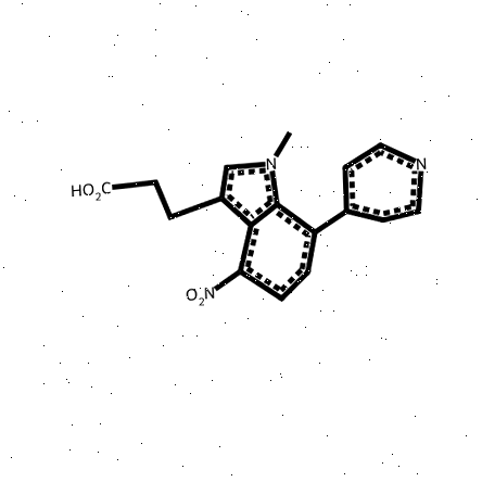 Cn1cc(CCC(=O)O)c2c([N+](=O)[O-])ccc(-c3ccncc3)c21